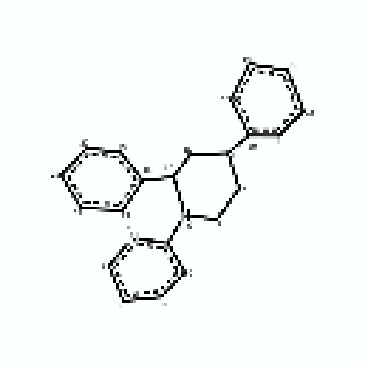 [c]1cccnc1N1CCC(c2ccccc2)CC1c1ccccc1